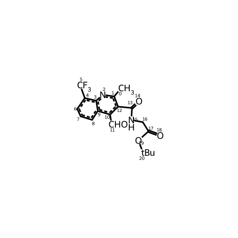 Cc1nc2c(C(F)(F)F)cccc2c(C=O)c1C(=O)NCC(=O)OC(C)(C)C